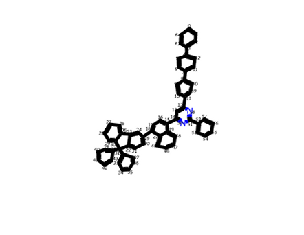 c1ccc(-c2ccc(-c3ccc(-c4cc(-c5ccc(-c6ccc7c(c6)-c6ccccc6C7(c6ccccc6)c6ccccc6)c6ccccc56)nc(-c5ccccc5)n4)cc3)cc2)cc1